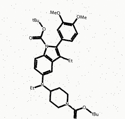 CCc1c(-c2ccc(OC)c(OC)c2)n(C(=O)OC(C)(C)C)c2ccc(N(CC)C3CCN(C(=O)OC(C)(C)C)CC3)cc12